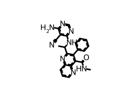 CNC(=O)c1c(-c2ccccc2)c(C(C)Nc2ncnc(N)c2C#N)nc2cccnc12